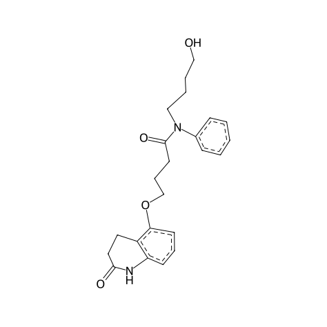 O=C1CCc2c(cccc2OCCCC(=O)N(CCCCO)c2ccccc2)N1